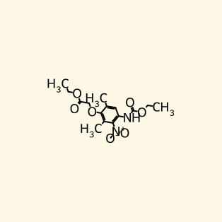 CCOC(=O)COc1c(C)cc(NC(=O)OCC)c([N+](=O)[O-])c1C